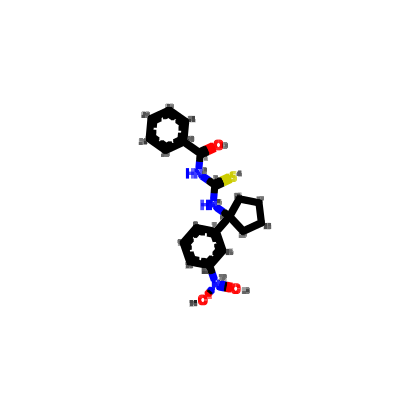 O=C(NC(=S)NC1(c2cccc([N+](=O)[O-])c2)CCCC1)c1ccccc1